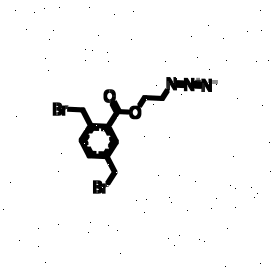 [N-]=[N+]=NCCOC(=O)c1cc(CBr)ccc1CBr